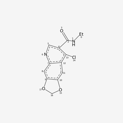 CCNC(=O)c1cnc2cc3c(cc2c1Cl)OCO3